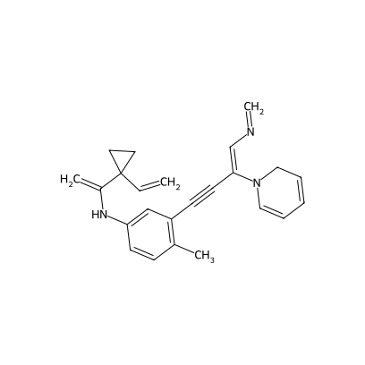 C=CC1(C(=C)Nc2ccc(C)c(C#C/C(=C/N=C)N3C=CC=CC3)c2)CC1